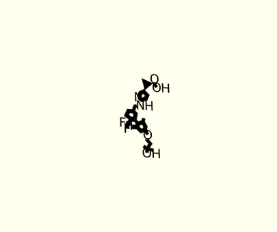 Cc1cc(OCCC(C)(C)O)cc(C)c1-c1cc(CNc2ccc([C@H]3C[C@@H]3C(=O)O)cn2)ccc1C(F)(F)F